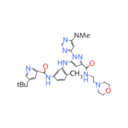 CNc1cc(-n2nc(C(=O)NCCN3CCOCC3)cc2Nc2cc(NC(=O)c3cncc(C(C)(C)C)c3)ccc2C)ncn1